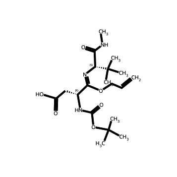 C=CCOC(=N[C@H](C(=O)NC)C(C)(C)C)[C@@H](CC(=O)O)NC(=O)OC(C)(C)C